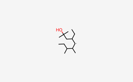 CCC([CH]C(C)C(C)CC)CC(C)(C)O